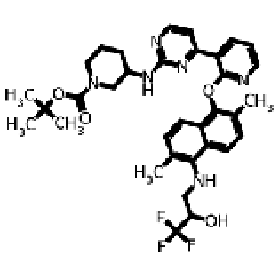 Cc1ccc2c(Oc3ncccc3-c3ccnc(NC4CCCN(C(=O)OC(C)(C)C)C4)n3)c(C)ccc2c1NCC(O)C(F)(F)F